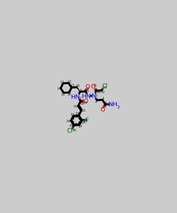 NC(=O)CCN(NC(=O)[C@H](CC1CCCCC1)NC(=O)/C=C/c1ccc(Cl)cc1F)C(=O)CCl